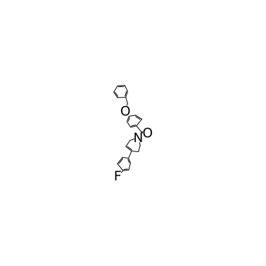 O=C(c1ccc(OCc2ccccc2)cc1)N1CC=C(c2ccc(F)cc2)CC1